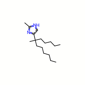 CCCCCCC(C)(CCCCC)c1c[nH]c(C)n1